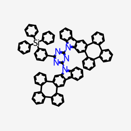 c1ccc([Si](c2ccccc2)(c2ccccc2)c2cccc(-c3nc(-n4c5ccccc5c5cc6c(cc54)-c4ccccc4-c4ccccc4-c4ccccc4-6)nc(-n4c5ccccc5c5cc6c(cc54)-c4ccccc4-c4ccccc4-c4ccccc4-6)n3)c2)cc1